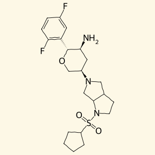 N[C@H]1C[C@@H](N2CC3CCN(S(=O)(=O)C4CCCC4)C3C2)CO[C@@H]1c1cc(F)ccc1F